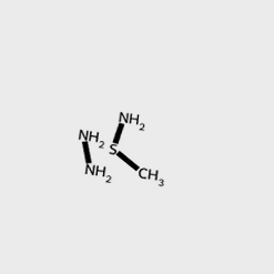 CSN.NN